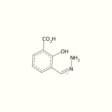 N/N=C\c1cccc(C(=O)O)c1O